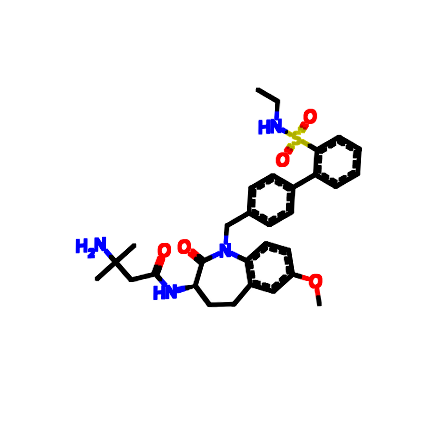 CCNS(=O)(=O)c1ccccc1-c1ccc(CN2C(=O)[C@H](NC(=O)CC(C)(C)N)CCc3cc(OC)ccc32)cc1